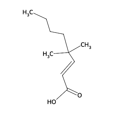 CCCCC(C)(C)C=CC(=O)O